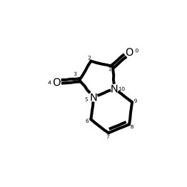 O=C1CC(=O)N2CC=CCN12